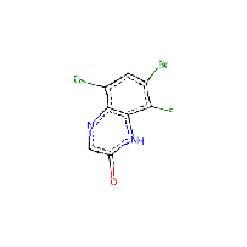 O=c1cnc2c(Cl)cc(Br)c(F)c2[nH]1